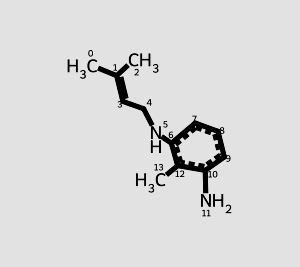 CC(C)=CCNc1cccc(N)c1C